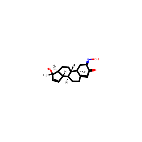 C[C@]12CC(=NO)C(=O)C=C1CC[C@@H]1[C@@H]2CC[C@@]2(C)[C@H]1C=C[C@]2(C)O